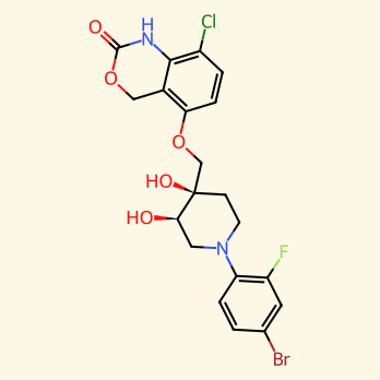 O=C1Nc2c(Cl)ccc(OC[C@]3(O)CCN(c4ccc(Br)cc4F)C[C@H]3O)c2CO1